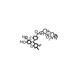 C=c1cc2c(cc1F)=C(c1ccc(C(=O)NCC3CCN(CC(O)Cn4ccnc4[N+](=O)[O-])CC3)cc1C(=O)O)c1cc(F)c(O)cc1O2